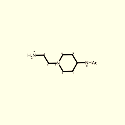 CC(=O)NC1CCN(CCN)CC1